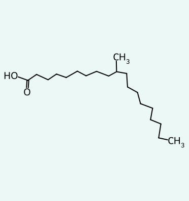 CCCCCCCCCC(C)CCCCCCCCC(=O)O